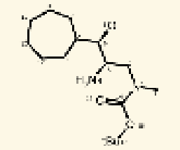 CN(C[C@@H](N)[C@H](O)C1CCCCCC1)C(=O)OC(C)(C)C